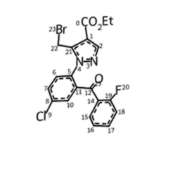 CCOC(=O)c1cnn(-c2ccc(Cl)cc2C(=O)c2ccccc2F)c1CBr